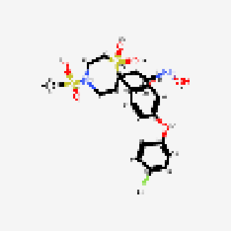 CS(=O)(=O)N1CCC(CC(=O)NO)(c2ccc(Oc3ccc(F)cc3)cc2)S(=O)(=O)CC1